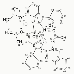 CC(C)Oc1ccccc1C(O)(c1ccccc1OC(C)C)C(Cc1ccccc1)N(C)C(=O)[C@@H]1[C@H](C(=O)O)N(Cc2ccccc2)C(=O)N1Cc1ccccc1